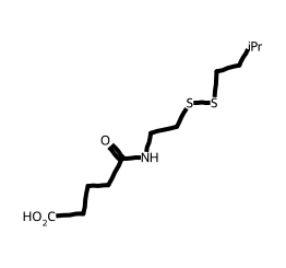 CC(C)CCSSCCNC(=O)CCCC(=O)O